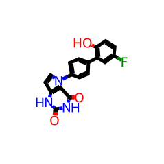 O=c1[nH]c(=O)c2c(ccn2-c2ccc(-c3cc(F)ccc3O)cc2)[nH]1